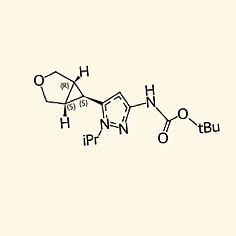 CC(C)n1nc(NC(=O)OC(C)(C)C)cc1[C@H]1[C@@H]2COC[C@@H]21